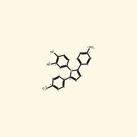 N#Cc1ccc(-n2c(-c3ccc([N+](=O)[O-])cc3)ccc2-c2ccc([N+](=O)[O-])cc2)cc1C#N